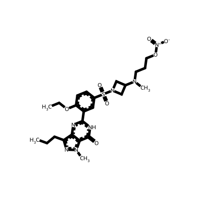 CCCc1nn(C)c2c(=O)[nH]c(-c3cc(S(=O)(=O)N4CC(N(C)CCCO[N+](=O)[O-])C4)ccc3OCC)nc12